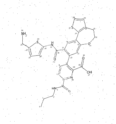 CCCNC(=O)c1ccc(-c2cc3c(cc2C(=O)Nc2ccc(CN)s2)-c2sccc2CCO3)c(C(=O)O)n1